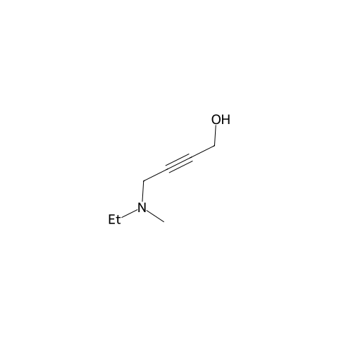 CCN(C)CC#CCO